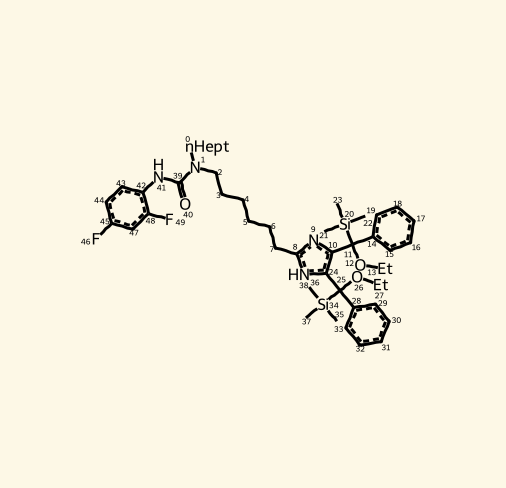 CCCCCCCN(CCCCCCc1nc(C(OCC)(c2ccccc2)[Si](C)(C)C)c(C(OCC)(c2ccccc2)[Si](C)(C)C)[nH]1)C(=O)Nc1ccc(F)cc1F